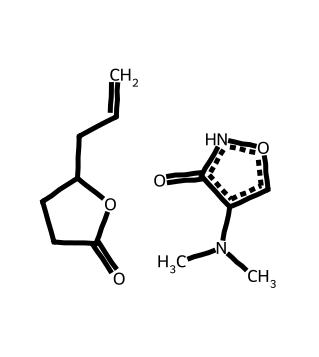 C=CCC1CCC(=O)O1.CN(C)c1co[nH]c1=O